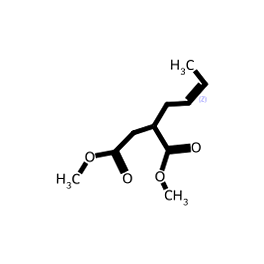 C/C=C\CC(CC(=O)OC)C(=O)OC